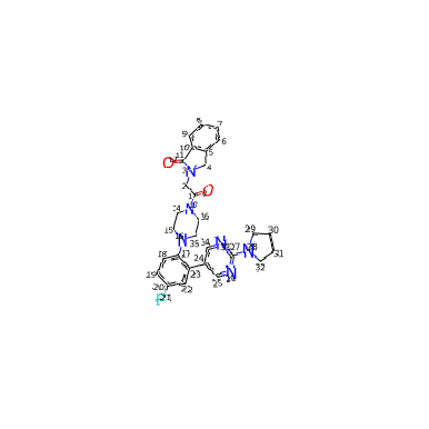 O=C(CN1Cc2ccccc2C1=O)N1CCN(c2ccc(F)cc2-c2cnc(N3CCCC3)nc2)CC1